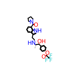 C[C@H](NCCc1c[nH]c2c(C(=O)N3CCCC3)cccc12)[C@H](O)c1ccc(OC(=O)C(F)(F)F)cc1